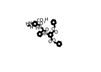 Cc1nc2cc(C(=O)NCC(C(=O)Nc3cc(C(=O)OCc4ccccc4)cc(C(=O)OCc4ccccc4)c3)c3ccccc3)c(C(=O)O)cc2[nH]1